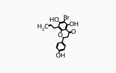 C=CCc1c(O)c(Br)c(O)c2c1OC(c1ccc(O)cc1)CC2=O